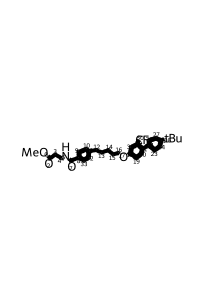 COC(=O)CCNC(=O)c1ccc(CCCCCOc2ccc(-c3ccc(C(C)(C)C)cc3)c(C(F)(F)F)c2)cc1